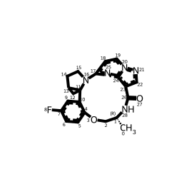 C[C@@H]1COc2ccc(F)cc2C23CC2CCN3c2ccn3ncc(c3n2)C(=O)N1